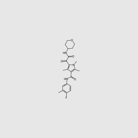 Cc1cc(NC(=O)c2c(C)c(C(=O)C(=O)NC3CCOCC3)n(C)c2C)ccc1F